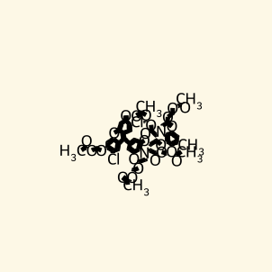 CC(=O)OCOC(=O)CN(CC(=O)OCOC(C)=O)c1ccc(C)cc1OCCOc1cc(-c2c3cc(Cl)c(=O)cc-3oc3cc(OCOC(C)=O)c(Cl)cc23)ccc1N(CC(=O)OCOC(C)=O)CC(=O)OCOC(C)=O